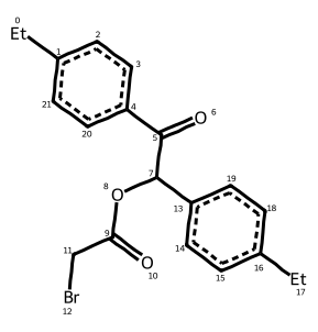 CCc1ccc(C(=O)C(OC(=O)CBr)c2ccc(CC)cc2)cc1